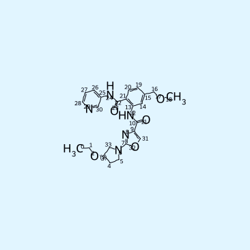 CCO[C@H]1CCN(c2nc(C(=O)Nc3cc(COC)ccc3C(=O)Nc3cccnc3)co2)C1